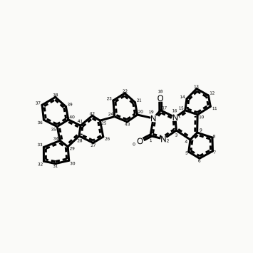 O=c1nc2c3ccccc3c3ccccc3n2c(=O)n1-c1cccc(-c2ccc3c4ccccc4c4ccccc4c3c2)c1